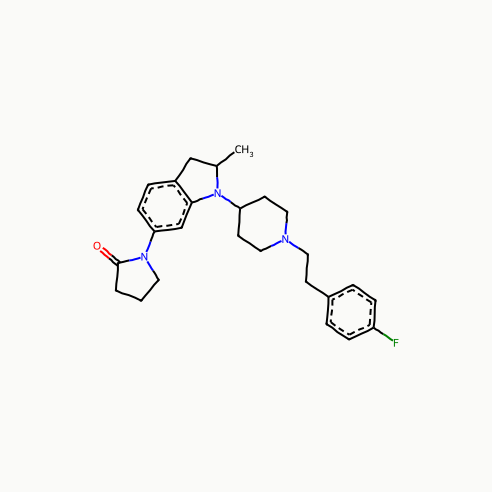 CC1Cc2ccc(N3CCCC3=O)cc2N1C1CCN(CCc2ccc(F)cc2)CC1